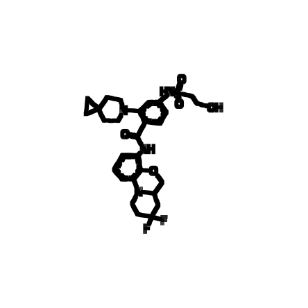 O=C(Nc1cccc2c1OCC1CC(F)(F)CCN21)c1ccc(NS(=O)(=O)CCO)cc1N1CCC2(CC1)CC2